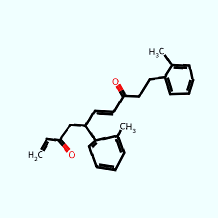 C=CC(=O)CC(C=CC(=O)CCc1ccccc1C)c1ccccc1C